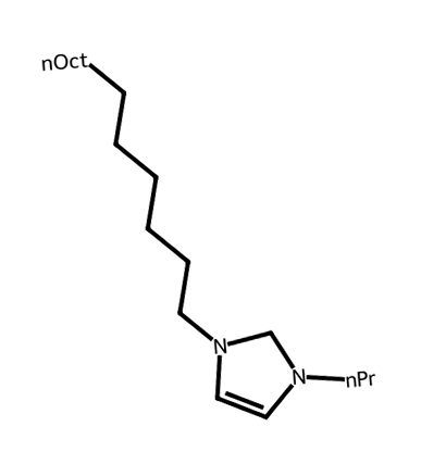 CCCCCCCCCCCCCCN1C=CN(CCC)C1